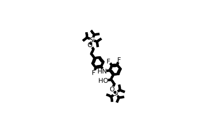 CC(C)[Si](OCCc1ccc(Nc2c(C(O)CO[Si](C(C)C)(C(C)C)C(C)C)ccc(F)c2F)c(F)c1)(C(C)C)C(C)C